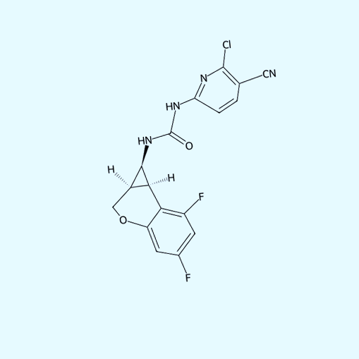 N#Cc1ccc(NC(=O)N[C@@H]2[C@@H]3COc4cc(F)cc(F)c4[C@@H]32)nc1Cl